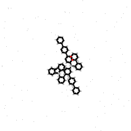 c1ccc(-c2ccc(-c3ccc(N(c4ccc(-c5ccccc5-n5c6ccccc6c6ccccc65)c(-c5ccc(-c6ccccc6)cc5)c4)c4ccccc4-c4ccccc4)cc3)cc2)cc1